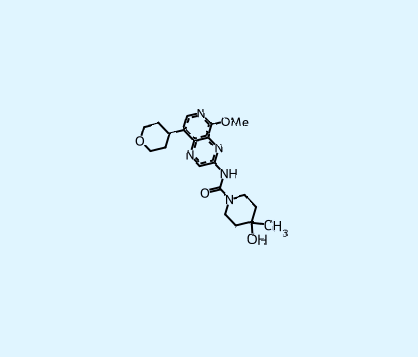 COc1ncc(C2CCOCC2)c2ncc(NC(=O)N3CCC(C)(O)CC3)nc12